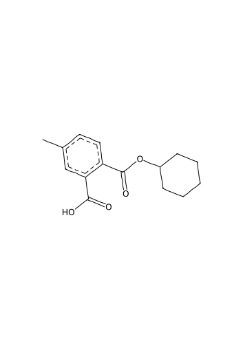 Cc1ccc(C(=O)OC2CCCCC2)c(C(=O)O)c1